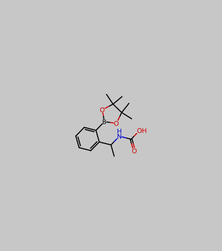 CC(NC(=O)O)c1ccccc1B1OC(C)(C)C(C)(C)O1